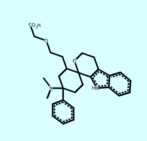 CN(C)C1(c2ccccc2)CCC2(OCCc3c2[nH]c2ccccc32)C(CCOCC(=O)O)C1